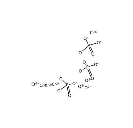 O=P([O-])([O-])[O-].O=P([O-])([O-])[O-].O=P([O-])([O-])[O-].[Cr+3].[Cr+3].[Cr+3].[Cr+3].[Cr+3].[O-2].[O-2].[O-2]